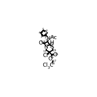 CC(=O)N(c1cccs1)C1C(=O)N2CC(Cl)(C(=O)OCC(Cl)(Cl)Cl)CS[C@H]12